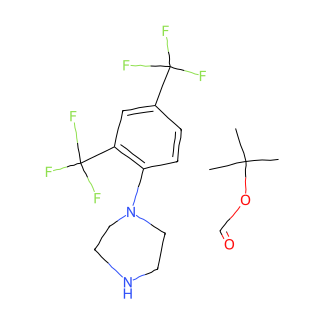 CC(C)(C)OC=O.FC(F)(F)c1ccc(N2CCNCC2)c(C(F)(F)F)c1